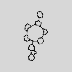 C1=C2CCC=C1N(c1ccc3c(c1)sc1ccccc13)c1cccc(c1)-c1cccc(c1)-c1cc(-c3ccccc3)nc(n1)-c1cccc2c1